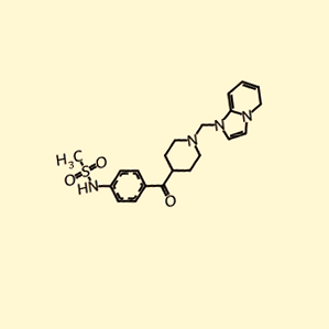 CS(=O)(=O)Nc1ccc(C(=O)C2CCN(CN3C=CN4CC=CC=C43)CC2)cc1